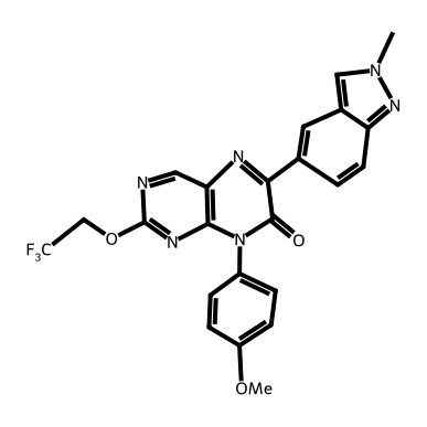 COc1ccc(-n2c(=O)c(-c3ccc4nn(C)cc4c3)nc3cnc(OCC(F)(F)F)nc32)cc1